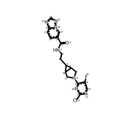 O=C(NCCC1C2CN(c3nc(Cl)ncc3F)CC12)c1ccc2ncnn2c1